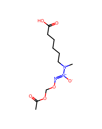 CC(=O)OCO/N=[N+](\[O-])N(C)CCCCCC(=O)O